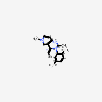 CC/C=C(/C1=CC=CN(C)C1)N(c1cc(C)ccc1C)C(C)N